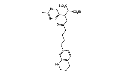 CCOC(=O)C(C(=O)OCC)C(CC(=O)CCCCc1ccc2c(n1)NCCC2)c1cnc(C)nc1